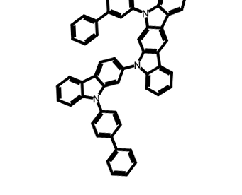 c1ccc(-c2ccc(-n3c4ccccc4c4ccc(-n5c6ccccc6c6cc7c8ccccc8n(-c8cccc(-c9ccccc9)c8)c7cc65)cc43)cc2)cc1